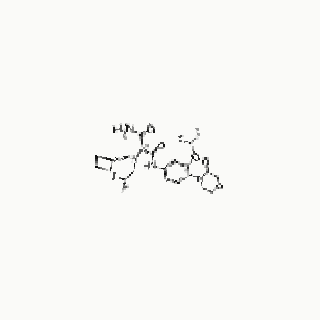 NC(=O)[C@@H](C(=O)Nc1ccc(N2CCOCC2=O)c(OC(F)F)c1)N(CC(F)F)CC1CCC1